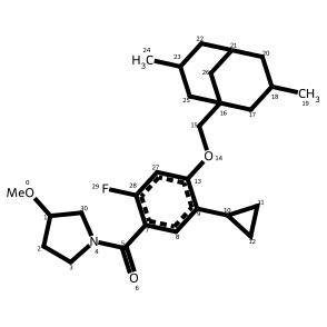 COC1CCN(C(=O)c2cc(C3CC3)c(OCC34CC(C)CC(CC(C)C3)C4)cc2F)C1